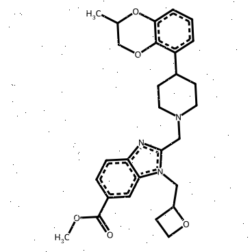 COC(=O)c1ccc2nc(CN3CCC(c4cccc5c4OCC(C)O5)CC3)n(CC3CCO3)c2c1